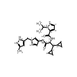 Cc1cc(Cn2cc(NC(=O)[C@@H](NC(=O)c3ccnn3C(C)C)C(C3CC3)C3CC3)cn2)[nH]n1